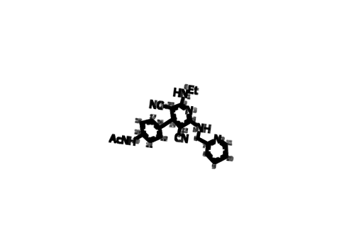 CCNc1nc(NCc2ccccn2)c(C#N)c(-c2ccc(NC(C)=O)cc2)c1C#N